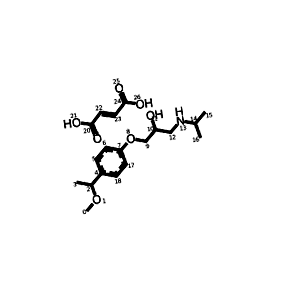 COC(C)c1ccc(OCC(O)CNC(C)C)cc1.O=C(O)/C=C/C(=O)O